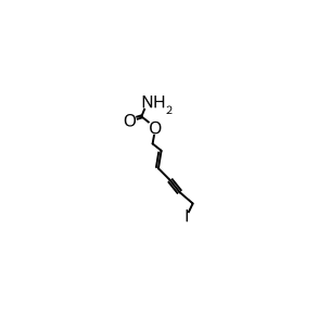 NC(=O)OCC=CC#CCI